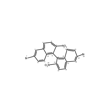 O=[N+]([O-])c1ccc2cc(Br)ccc2c1-c1c([N+](=O)[O-])ccc2cc(Br)ccc12